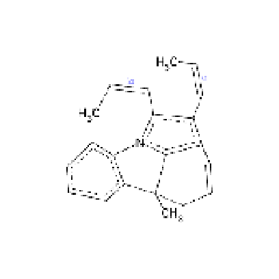 C/C=C\c1c2c3n(c1/C=C\C)-c1ccccc1C3(C)CC=C2